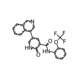 O=C(Nc1ccccc1OC(F)(F)F)c1cc(-c2cncc3ccccc23)c[nH]c1=O